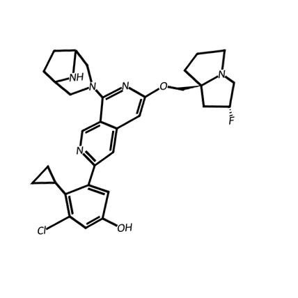 Oc1cc(Cl)c(C2CC2)c(-c2cc3cc(OC[C@@]45CCCN4C[C@H](F)C5)nc(N4CC5CCC(C4)N5)c3cn2)c1